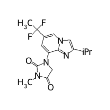 CC(C)c1cn2cc(C(C)(F)F)cc(N3CC(=O)N(C)C3=O)c2n1